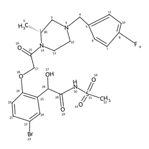 C[C@@H]1CN(Cc2ccc(F)cc2)CCN1C(=O)COc1ccc(Br)cc1C(O)C(=O)NS(C)(=O)=O